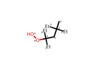 CCC(C)(CC)CC(CC)(CC)OO